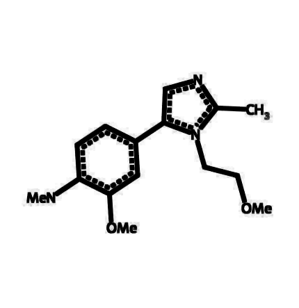 CNc1ccc(-c2cnc(C)n2CCOC)cc1OC